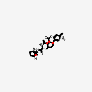 C=C(N)/C=C\C(=C/N)C[C@H](NC(=C)N[C@H](CC1CCCCC1)C(=O)N[C@H]1C[C@H]2CC[C@]1(C)C2(C)C)C(=O)O